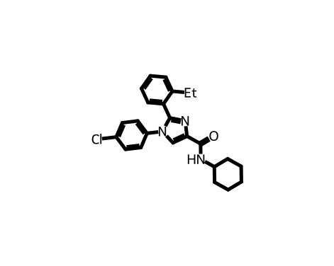 CCc1ccccc1-c1nc(C(=O)NC2CCCCC2)cn1-c1ccc(Cl)cc1